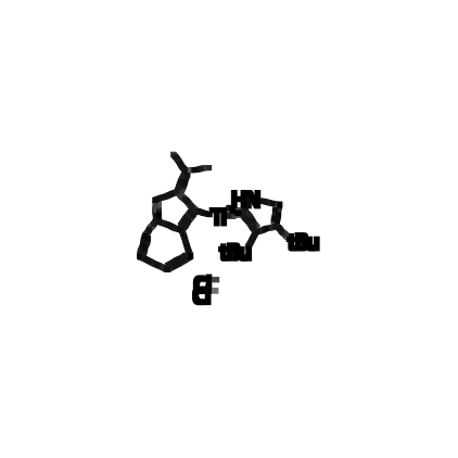 CC(C)=C1C=c2ccccc2=[C]1[Ti+2][c]1[nH]cc(C(C)(C)C)c1C(C)(C)C.[Cl-].[Cl-]